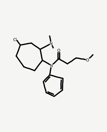 COCCC(=O)N(c1ccccc1)C1CCCC(Cl)CC1N(C)C